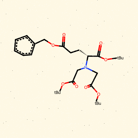 CC(C)(C)OC(=O)CN(CC(=O)OC(C)(C)C)[C@H](CCC(=O)OCc1ccccc1)C(=O)OC(C)(C)C